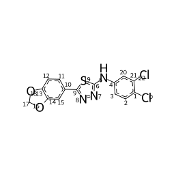 Clc1ccc(Nc2nnc(-c3ccc4c(c3)OCO4)s2)cc1Cl